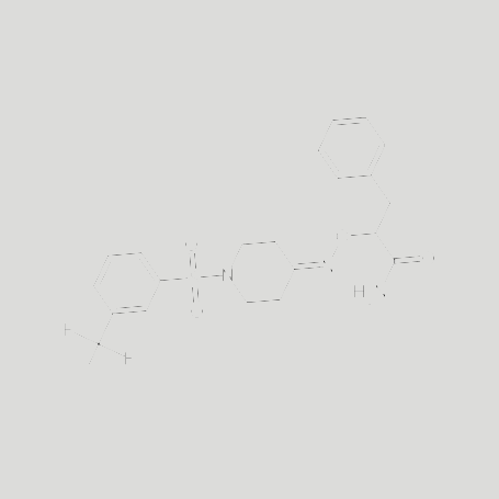 NC(=O)C(Cc1ccccc1)ON=C1CCN(S(=O)(=O)c2cccc(C(F)(F)F)c2)CC1